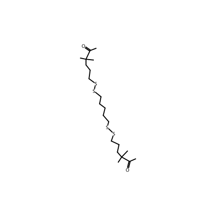 CC(=O)C(C)(C)CCCSSCCCCCSSCCCC(C)(C)C(C)=O